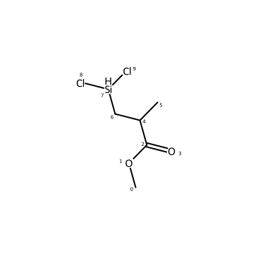 COC(=O)C(C)C[SiH](Cl)Cl